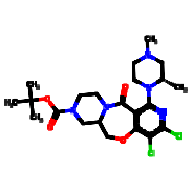 C[C@H]1CN(C)CCN1c1nc(Cl)c(Cl)c2c1C(=O)N1CCN(C(=O)OC(C)(C)C)CC1CO2